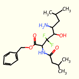 CC(C)CC(=O)NC(C(=O)OCc1ccccc1)C(F)(F)C(O)C(N)CC(C)C